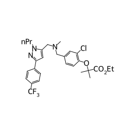 CCCn1nc(-c2ccc(C(F)(F)F)cc2)cc1CN(C)Cc1ccc(OC(C)(C)C(=O)OCC)c(Cl)c1